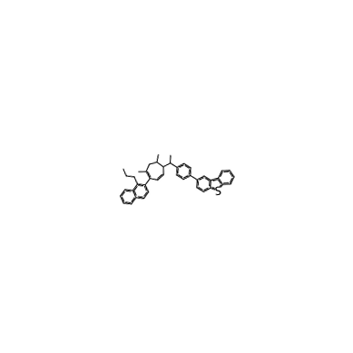 CCCc1c(C2=C(C)CC(C)C(C(C)c3ccc(-c4ccc5sc6ccccc6c5c4)cc3)C=C2)ccc2ccccc12